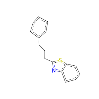 c1ccc(CCCc2nc3ccccc3s2)cc1